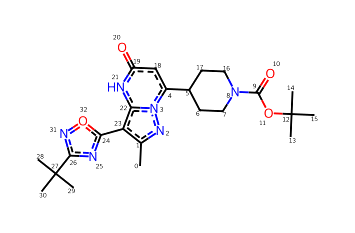 Cc1nn2c(C3CCN(C(=O)OC(C)(C)C)CC3)cc(=O)[nH]c2c1-c1nc(C(C)(C)C)no1